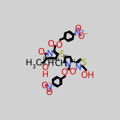 C[C@@H](O)[C@H]1C(=O)N2C(C(=O)OCc3ccc([N+](=O)[O-])cc3)=C(S[C@H]3C[C@@H](c4csc(CO)n4)N(C(=O)OCc4ccc([N+](=O)[O-])cc4)C3)[C@H](C)[C@H]12